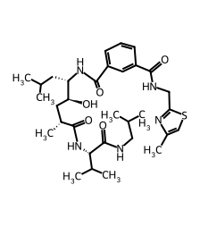 Cc1csc(CNC(=O)c2cccc(C(=O)N[C@@H](CC(C)C)[C@@H](O)C[C@@H](C)C(=O)N[C@H](C(=O)NCC(C)C)C(C)C)c2)n1